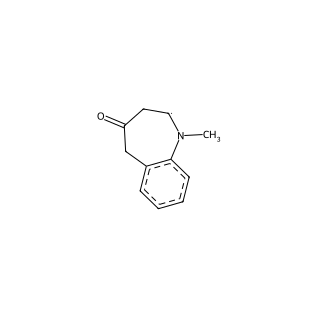 CN1[CH]CC(=O)Cc2ccccc21